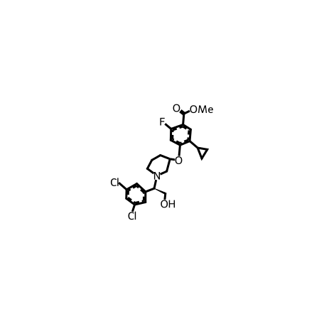 COC(=O)c1cc(C2CC2)c(OC2CCCN([C@@H](CO)c3cc(Cl)cc(Cl)c3)C2)cc1F